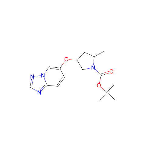 CC1CC(Oc2ccc3ncnn3c2)CN1C(=O)OC(C)(C)C